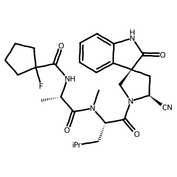 CC(C)C[C@@H](C(=O)N1C[C@]2(C[C@H]1C#N)C(=O)Nc1ccccc12)N(C)C(=O)[C@H](C)NC(=O)C1(F)CCCC1